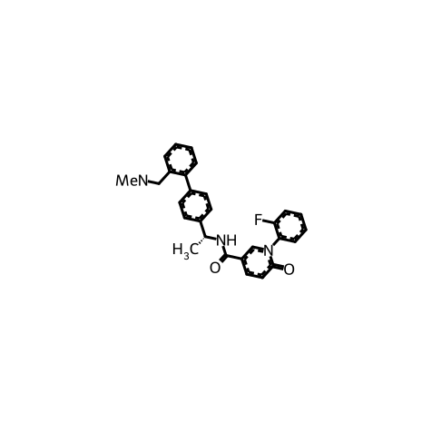 CNCc1ccccc1-c1ccc([C@@H](C)NC(=O)c2ccc(=O)n(-c3ccccc3F)c2)cc1